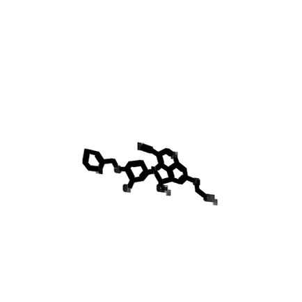 CCOc1cc2c3c(c(C#N)cnc3c1)N(c1ccc(OCc3ccccn3)c(Cl)c1)C2C